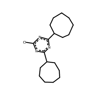 Clc1nc(C2CCCCCCC2)nc(C2CCCCCCC2)n1